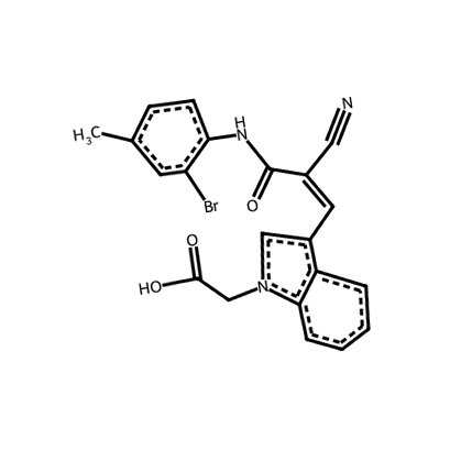 Cc1ccc(NC(=O)C(C#N)=Cc2cn(CC(=O)O)c3ccccc23)c(Br)c1